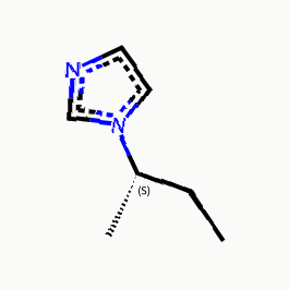 CC[C@H](C)n1ccnc1